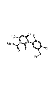 COC(=O)n1c(C(F)(F)F)cc(=O)n(-c2cc(OC(C)C)c(Cl)cc2F)c1=O